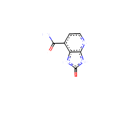 NC(=O)c1[c]cnc2[nH]c(=O)[nH]c12